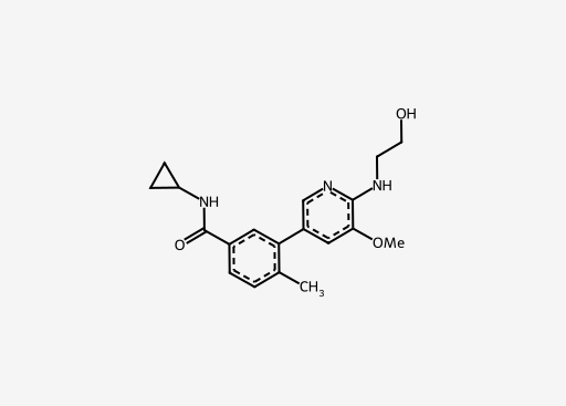 COc1cc(-c2cc(C(=O)NC3CC3)ccc2C)cnc1NCCO